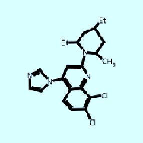 CCC1CC(C)N(c2cc(-n3ccnc3)c3ccc(Cl)c(Cl)c3n2)C(CC)C1